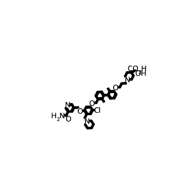 Cc1c(COc2cc(OCc3cncc(C(N)=O)c3)c(CN3CCCCC3)cc2Cl)cccc1-c1cccc(OCCCN2CCC(CO)(C(=O)O)CC2)c1C